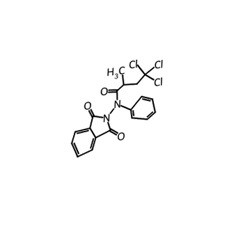 CC(CC(Cl)(Cl)Cl)C(=O)N(c1ccccc1)N1C(=O)c2ccccc2C1=O